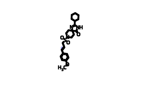 COc1ccc(/C=C/CS(=O)(=O)N2CCC3(CC2)N=C(C2CCCCC2)NC3=O)cc1